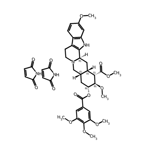 COC(=O)[C@H]1[C@H]2C[C@@H]3c4[nH]c5cc(OC)ccc5c4CCN3C[C@H]2C[C@@H](OC(=O)c2cc(OC)c(OC)c(OC)c2)[C@@H]1OC.O=C1C=CC(=O)N1.O=C1C=CC(=O)N1